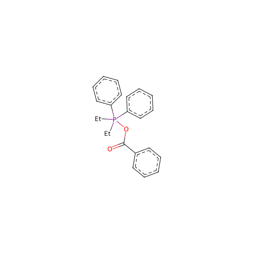 CCP(CC)(OC(=O)c1ccccc1)(c1ccccc1)c1ccccc1